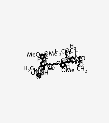 C=CC(=O)N[C@H]1COC[C@H]1Nc1cc2c(N3CCOC(CCOc4cc(OC)c(Cl)c(-c5cc6cnc(N[C@@H]7COC[C@@H]7NC(=O)C=C)cc6c(N6CC(C)OC(C)C6)n5)c4Cl)C3)nc(-c3c(F)c(OC)cc(OC)c3F)cc2cn1